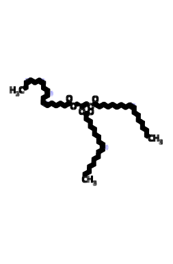 CC/C=C\C/C=C\C/C=C\C/C=C\CCCCC(=O)OC[C@@H](COC(=O)CCCCCCC/C=C\CCCCCCCC)OC(=O)CCCCCCC/C=C\CCCCCCCC